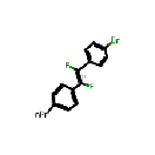 CCCc1ccc(/C(F)=C(\F)c2ccc(Br)cc2)cc1